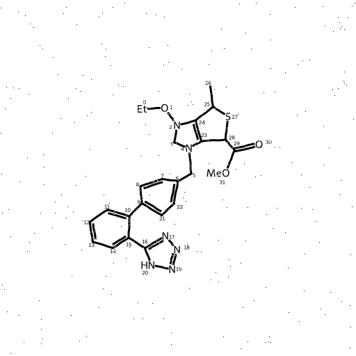 CCON1CN(Cc2ccc(-c3ccccc3-c3nnn[nH]3)cc2)C2=C1C(C)SC2C(=O)OC